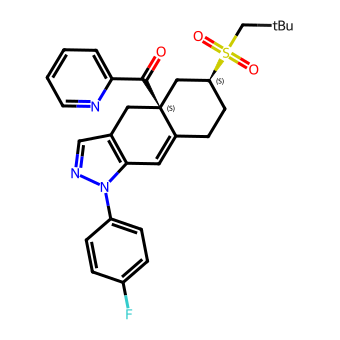 CC(C)(C)CS(=O)(=O)[C@H]1CCC2=Cc3c(cnn3-c3ccc(F)cc3)C[C@]2(C(=O)c2ccccn2)C1